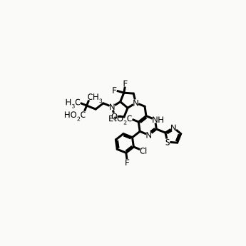 CCOC(=O)C1=C(CN2CC(F)(F)C3C2CON3CCC(C)(C)C(=O)O)NC(c2nccs2)=NC1c1cccc(F)c1Cl